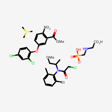 CCc1cccc(C)c1N(C(=O)CCl)C(C)COC.COC(=O)c1cc(Oc2ccc(Cl)cc2Cl)ccc1[N+](=O)[O-].C[S+](C)C.O=C(O)CNCP(=O)([O-])O